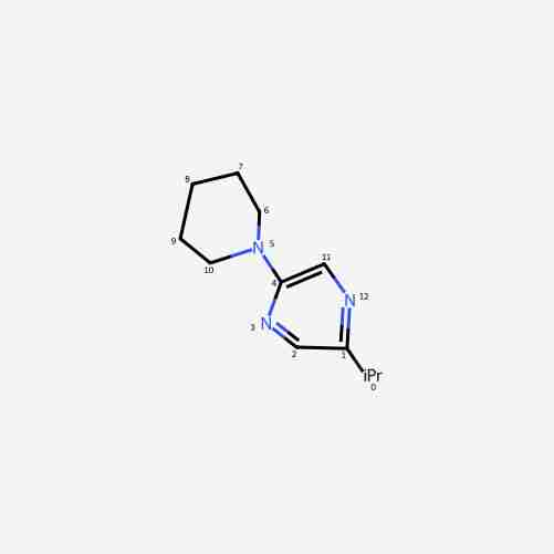 CC(C)c1cnc(N2CCCCC2)cn1